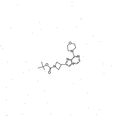 CC(C)(C)OC(=O)N1CC(c2cn3ccnc(N4CCOCC4)c3n2)C1